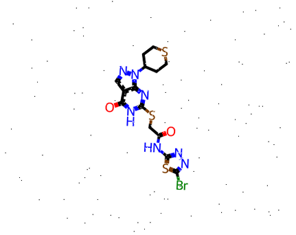 O=C(CSc1nc2c(cnn2C2CCSCC2)c(=O)[nH]1)Nc1nnc(Br)s1